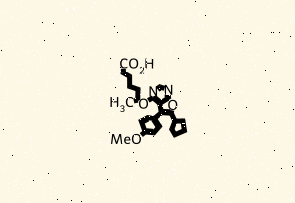 COc1ccc(-c2c(C3CCCC3)oc3ncnc(OC(C)CCCCC(=O)O)c23)cc1